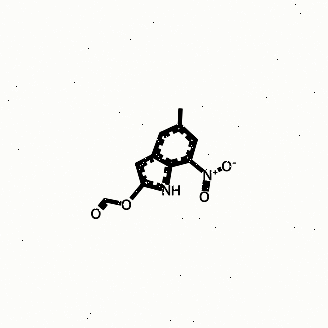 Cc1cc([N+](=O)[O-])c2[nH]c(OC=O)cc2c1